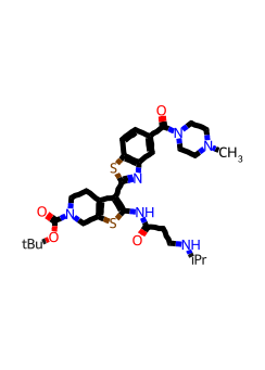 CC(C)NCCC(=O)Nc1sc2c(c1-c1nc3cc(C(=O)N4CCN(C)CC4)ccc3s1)CCN(C(=O)OC(C)(C)C)C2